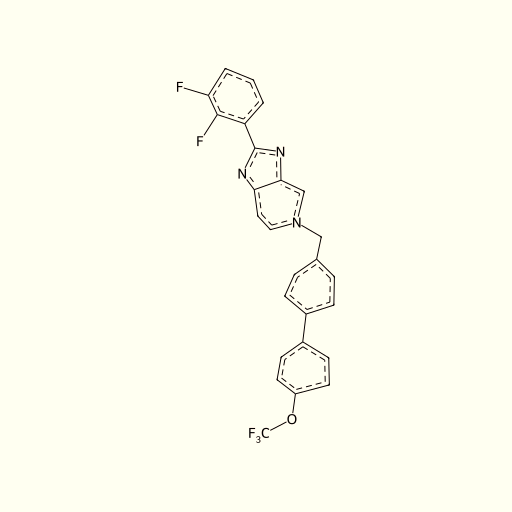 Fc1cccc(-c2nc3ccn(Cc4ccc(-c5ccc(OC(F)(F)F)cc5)cc4)cc-3n2)c1F